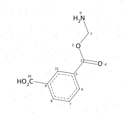 NCOC(=O)c1cccc(C(=O)O)c1